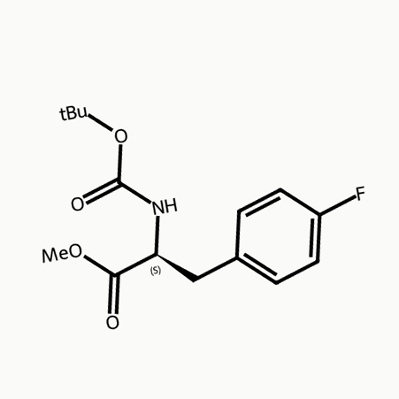 COC(=O)[C@H](Cc1ccc(F)cc1)NC(=O)OC(C)(C)C